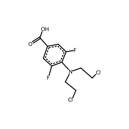 O=C(O)c1cc(F)c(N(CCCl)CCCl)c(F)c1